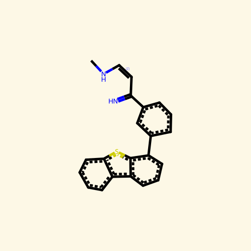 CN/C=C\C(=N)c1cccc(-c2cccc3c2sc2ccccc23)c1